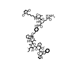 CC[C@H](C)[C@@H]([C@@H](CC(=O)N1CCC[C@H]1[C@H](OC)[C@@H](C)C(=O)N[C@@H](Cc1ccccc1)c1nccs1)OC)N(C)C(=O)[C@@H](NC(=O)[C@@]1(C)CCCN1C(=O)OCc1ccc(NC(=O)[C@H](CCCNC(N)=O)NC(=O)[C@@H](NC(=O)CCCCCN2C(=O)C=CC2=O)C(C)C)cc1)C(C)C